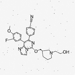 COc1ccc(-c2c(-c3ccc(C#N)cc3)nc(OC[C@@H]3CCCN(CCO)C3)n3ccnc23)cc1F